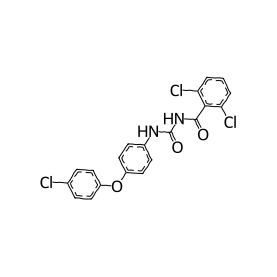 O=C(NC(=O)c1c(Cl)cccc1Cl)Nc1ccc(Oc2ccc(Cl)cc2)cc1